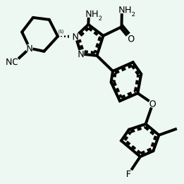 Cc1cc(F)ccc1Oc1ccc(-c2nn([C@H]3CCCN(C#N)C3)c(N)c2C(N)=O)cc1